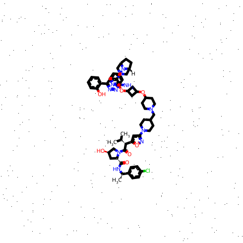 CC(C)[C@@H](C(=O)N1C[C@H](O)C[C@H]1C(=O)N[C@@H](C)c1ccc(Cl)cc1)c1cc(N2CCC(CN3CCC(OC4CC(Oc5cc(N6C7CC[C@@H]6CN(c6cc(-c8ccccc8O)nnc6N)C7)ccn5)C4)CC3)CC2)no1